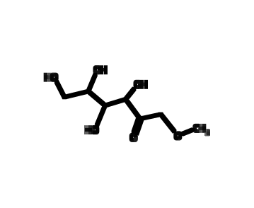 COCC(=O)C(O)C(O)C(O)CO